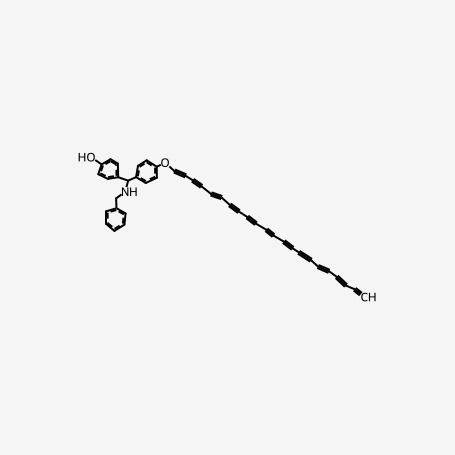 C#CC#CC#CC#CC#CC#CC#CC#CC#CC#CC#COc1ccc(C(NCc2ccccc2)c2ccc(O)cc2)cc1